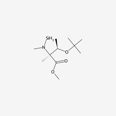 COC(=O)[C@](C)([C@@H](C)OC(C)(C)C)N(C)[SiH3]